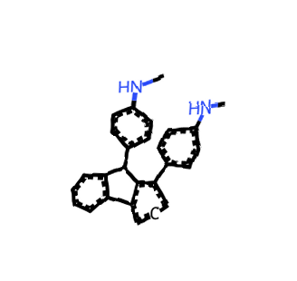 CNc1ccc(-c2cccc3c2C(c2ccc(NC)cc2)c2ccccc2-3)cc1